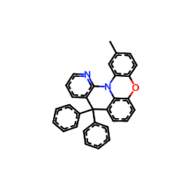 Cc1ccc2c(c1)N1c3ncccc3C(c3ccccc3)(c3ccccc3)c3cccc(c31)O2